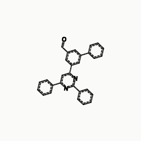 O=Cc1cc(-c2ccccc2)cc(-c2cc(-c3ccccc3)nc(-c3ccccc3)n2)c1